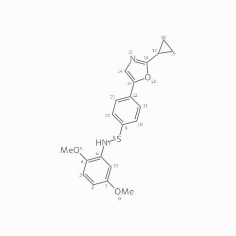 COc1ccc(OC)c(NSc2ccc(-c3cnc(C4CC4)o3)cc2)c1